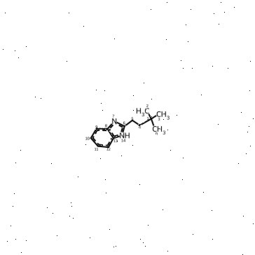 CC(C)(C)CCc1nc2ccccc2[nH]1